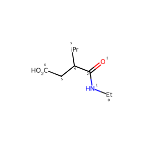 CCNC(=O)C(CC(=O)O)C(C)C